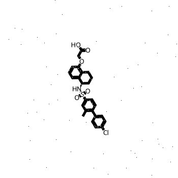 Cc1cc(S(=O)(=O)N[C@@H]2CCCc3c(OCC(=O)O)cccc32)ccc1-c1ccc(Cl)cc1